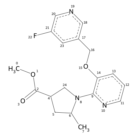 COC(=O)C1CC(C)N(c2ncccc2OCc2cncc(F)c2)C1